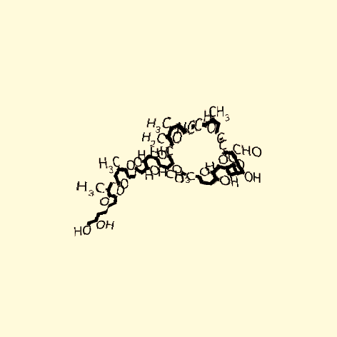 C=C1C2C[C@@H]3O[C@H]4C[C@H]5O[C@]6(CC7O[C@]8(C[C@H](C)C9O[C@H](CC[C@@H](O)CO)CC9O8)C[C@H](C)C7O6)C[C@H]5O[C@H]4[C@H](C)C3OC(=O)CC3CCC4O[C@@H]5C6C(O[C@]7(CCC8CC(C)[C@H](CC[C@@H](C[C@H]1C)O2)O8)OC61OC(O)(C51)C7C=O)[C@H]4O3